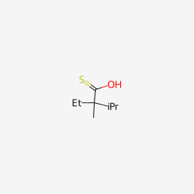 CCC(C)(C(O)=S)C(C)C